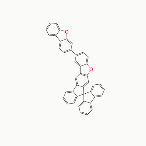 c1ccc2c(c1)-c1ccccc1C21c2ccccc2-c2cc3c(cc21)oc1ccc(-c2ccc4c(c2)oc2ccccc24)cc13